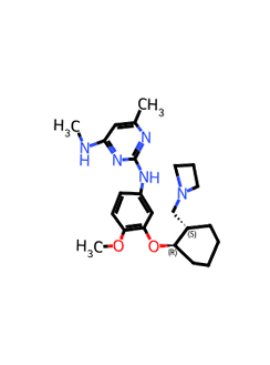 CNc1cc(C)nc(Nc2ccc(OC)c(O[C@@H]3CCCC[C@H]3CN3CCC3)c2)n1